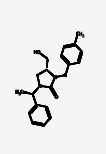 Cc1ccc(SN2C(=O)N([C@H](C)c3ccccc3)C[C@@H]2CO)cc1